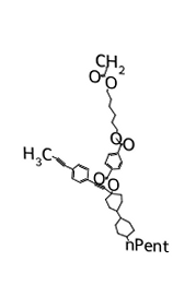 C=CC(=O)OCCCCCCOC(=O)c1ccc(C(=O)OC2(C#Cc3ccc(C#CC)cc3)CCC(C3CCC(CCCCC)CC3)CC2)cc1